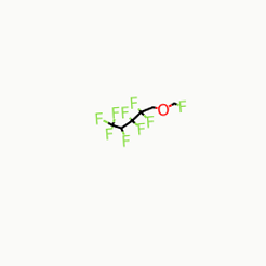 FCOCC(F)(F)C(F)(F)C(F)C(F)(F)F